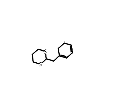 [CH]1C=CC=C(CC2SCCCS2)C1